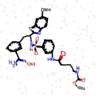 COc1ccc2nc(C(Cc3cccc(C(N)=NO)c3)NS(=O)(=O)c3cccc(NC(=O)CCCNC(=O)OC(C)(C)C)c3)sc2c1